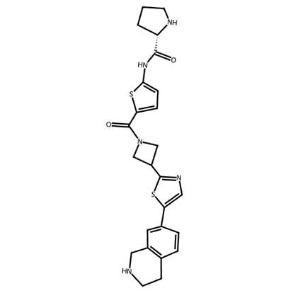 O=C(Nc1ccc(C(=O)N2CC(c3ncc(-c4ccc5c(c4)CNCC5)s3)C2)s1)[C@@H]1CCCN1